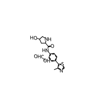 Cc1ncsc1-c1ccc(NC(=O)C2CC(O)CN2)cc1.O=CO